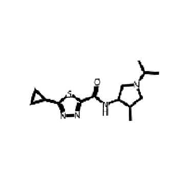 CC1CN(C(C)C)CC1NC(=O)c1nnc(C2CC2)s1